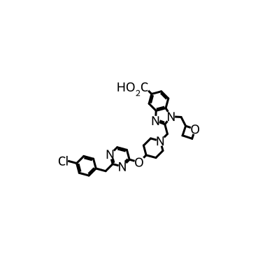 O=C(O)c1ccc2c(c1)nc(CN1CCC(Oc3ccnc(Cc4ccc(Cl)cc4)n3)CC1)n2CC1CCO1